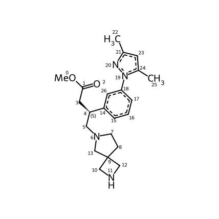 COC(=O)C[C@H](CN1CCC2(CNC2)C1)c1cccc(-n2nc(C)cc2C)c1